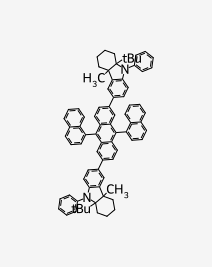 CC(C)(C)C12CCCCC1(C)c1cc(-c3ccc4c(-c5cccc6ccccc56)c5cc(-c6ccc7c(c6)C6(C)CCCCC6(C(C)(C)C)N7c6ccccc6)ccc5c(-c5cccc6ccccc56)c4c3)ccc1N2c1ccccc1